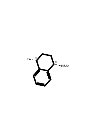 CN[C@H]1CC[C@@H](C)c2ccccc21